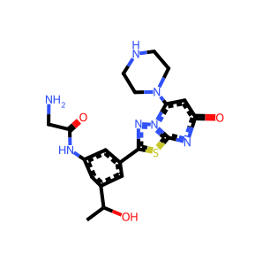 CC(O)c1cc(NC(=O)CN)cc(-c2nn3c(N4CCNCC4)cc(=O)nc3s2)c1